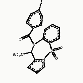 CCOC(=O)C1c2cccn2S(=O)(=O)c2ccccc2N1C(=O)c1ccc(F)cc1